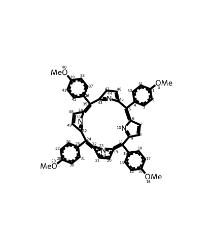 COc1ccc(C2=C3C=CC(=N3)C(c3ccc(OC)cc3)=c3ccc([nH]3)=C(c3ccc(OC)cc3)C3=NC(=C(c4ccc(OC)cc4)C4=NC2=CC4)C=C3)cc1